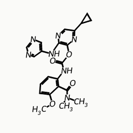 COc1cccc(NC(=O)Oc2nc(C3CC3)cnc2Nc2cncnc2)c1C(=O)N(C)C